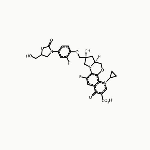 O=C(O)c1cn(C2CC2)c2c3c(c(F)cc2c1=O)N1C[C@](O)(COc2ccc(N4CC(CO)OC4=O)cc2F)C[C@H]1CO3